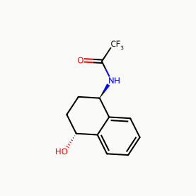 O=C(N[C@@H]1CC[C@@H](O)c2ccccc21)C(F)(F)F